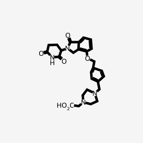 O=C(O)CN1CCN(Cc2ccc(COc3cccc4c3CN(C3CCC(=O)NC3=O)C4=O)cc2)CC1